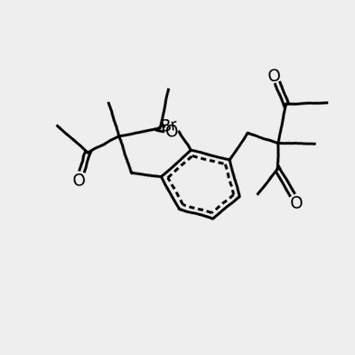 CC(=O)C(C)(Cc1cccc(CC(C)(C(C)=O)C(C)=O)c1Br)C(C)=O